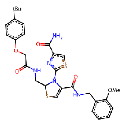 COc1ccccc1CNC(=O)C1=CSC(CNC(=O)COc2ccc(C(C)(C)C)cc2)N1c1nc(C(N)=O)cs1